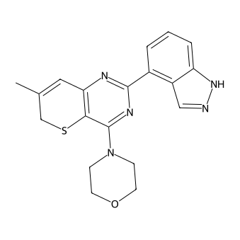 CC1=Cc2nc(-c3cccc4[nH]ncc34)nc(N3CCOCC3)c2SC1